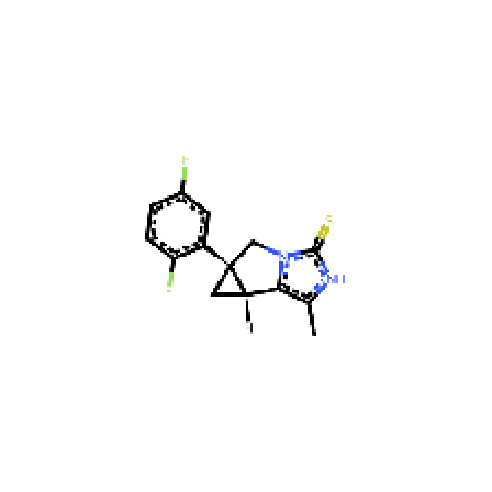 Cc1[nH]c(=S)n2c1[C@@H]1C[C@]1(c1cc(F)ccc1F)C2